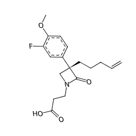 C=CCCC[C@]1(c2ccc(OC)c(F)c2)CN(CCC(=O)O)C1=O